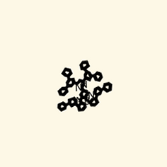 c1ccc(-c2cc(-c3ccccc3)cc(-c3cc(-c4cc(-c5ccccc5)cc(-c5ccccc5)c4)nc(-c4cc5c6c(c4)-n4c7ccc(-c8ccccc8)cc7c7cccc(c74)B6c4cccc6c7cc(-c8ccccc8)ccc7n-5c46)n3)c2)cc1